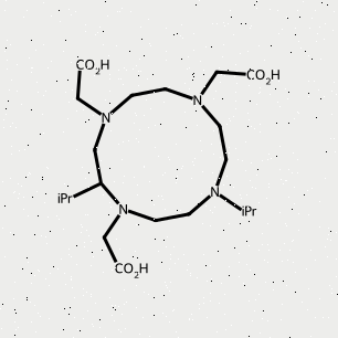 CC(C)C1CN(CC(=O)O)CCN(CC(=O)O)CCN(C(C)C)CCN1CC(=O)O